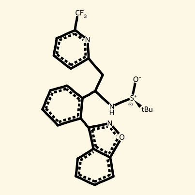 CC(C)(C)[S@+]([O-])NC(Cc1cccc(C(F)(F)F)n1)c1ccccc1-c1noc2ccccc12